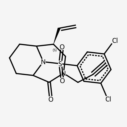 C#CCN1C[C@H](C=C)C2CCCC(C1=O)N2S(=O)(=O)c1cc(Cl)cc(Cl)c1